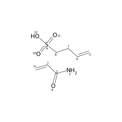 C=CC(N)=O.C=CCCS(=O)(=O)O